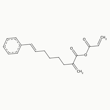 C=CC(=O)OC(=O)C(=C)CCCCC=Cc1ccccc1